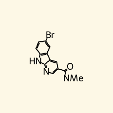 CNC(=O)c1cnc2[nH]c3ccc(Br)cc3c2c1